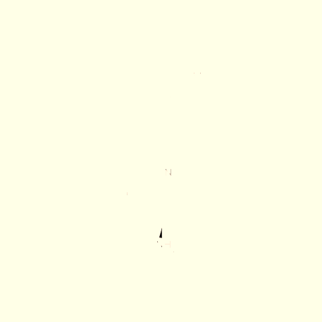 N[C@@H]1CCN(CCC=O)C1=O